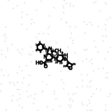 Cc1nn(-c2ccccc2)c2nc(C(=O)O)cc(-c3ccc(NC4COC4)cc3)c12